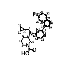 O=C(O)N1CCC[C@@H](N(CC2CC2)c2ccnc(-c3cnc4ccc(F)cn34)n2)C1